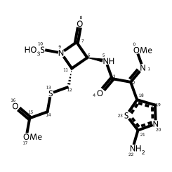 CO/N=C(\C(=O)N[C@@H]1C(=O)N(S(=O)(=O)O)[C@H]1CSCC(=O)OC)c1cnc(N)s1